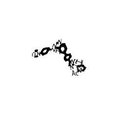 CC(=O)N1CCC[C@H]1c1ncc(-c2ccc(-c3ccc4ncnc(Nc5ccc(N6CCOCC6)cc5)c4c3)cc2)[nH]1